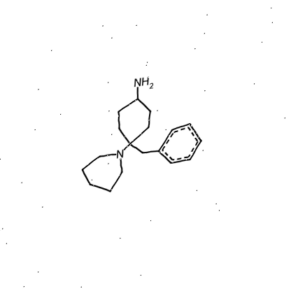 NC1CCC(Cc2ccccc2)(N2CCCCC2)CC1